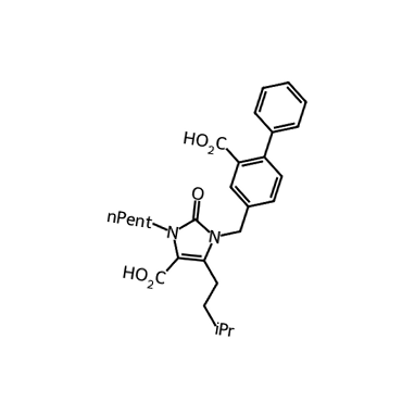 CCCCCn1c(C(=O)O)c(CCC(C)C)n(Cc2ccc(-c3ccccc3)c(C(=O)O)c2)c1=O